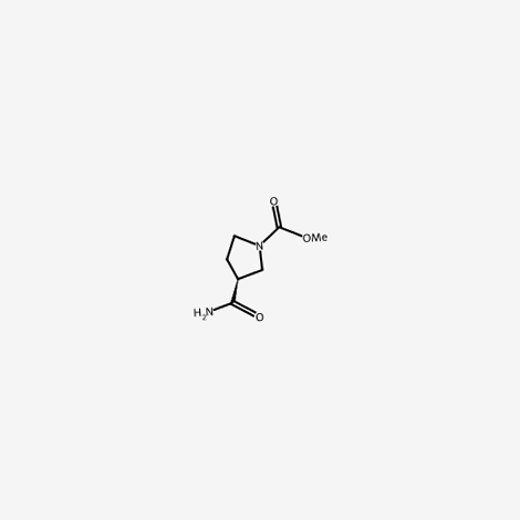 COC(=O)N1CC[C@H](C(N)=O)C1